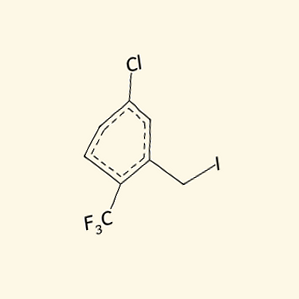 FC(F)(F)c1ccc(Cl)cc1CI